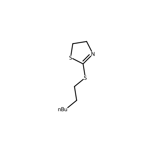 CCCCCCSC1=NCCS1